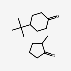 CC(C)(C)C1CCC(=O)CC1.CC1CCCC1=O